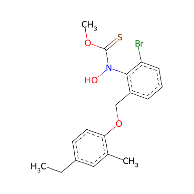 CCc1ccc(OCc2cccc(Br)c2N(O)C(=S)OC)c(C)c1